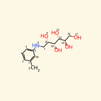 Cc1cccc(NC[C@H](O)[C@@H](O)[C@H](O)[C@H](O)CO)c1